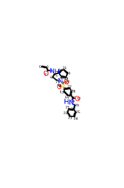 C=CC(=O)NC1CCN(S(=O)(=O)c2ccc(C(=O)NCc3ccccc3)cc2)c2ccccc21